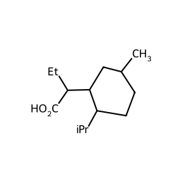 CCC(C(=O)O)C1CC(C)CCC1C(C)C